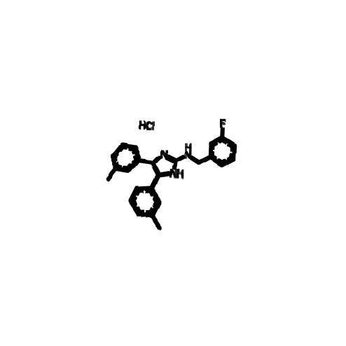 Cc1cccc(C2N=C(NCc3cccc(F)c3)NC2c2cccc(C)c2)c1.Cl